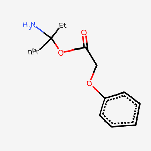 CCCC(N)(CC)OC(=O)COc1ccccc1